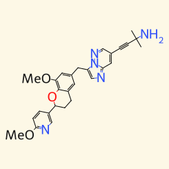 COc1ccc(C2CCc3cc(Cc4cnc5cc(C#CC(C)(C)N)cnn45)cc(OC)c3O2)cn1